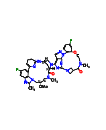 CO[C@H]1CN(C)C(=O)[C@@H]2C[C@@H](CN2c2nc3nc4c2cnn4-c2ccc(F)cc2OCCN(C)C(=O)C2CN3C2)Nc2cccc(n2)-c2cc(F)cc3nc(C)n(c23)C1